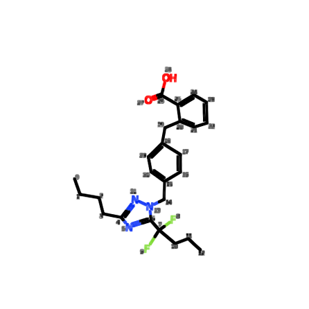 CCCCc1nc(C(F)(F)CCC)n(Cc2ccc(Cc3ccccc3C(=O)O)cc2)n1